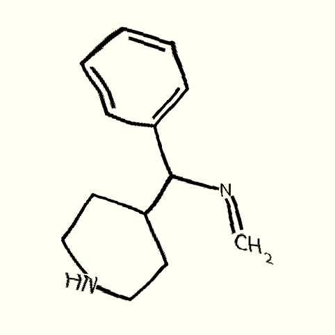 C=NC(c1ccccc1)C1CCNCC1